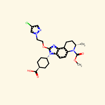 COC(=O)N1c2ccc3c(nc(OCCn4cc(Cl)cn4)n3[C@H]3CC[C@H](C(=O)O)CC3)c2CC[C@@H]1C